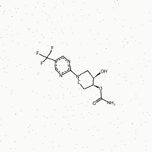 NC(=O)O[C@H]1CCN(c2ncc(C(F)(F)F)cn2)C[C@H]1O